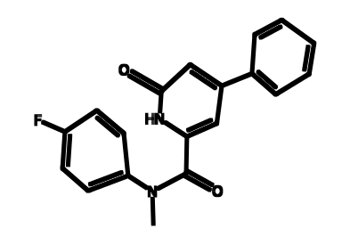 CN(C(=O)c1cc(-c2ccccc2)cc(=O)[nH]1)c1ccc(F)cc1